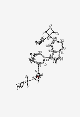 CC(C)(O)C12CC(C1)N(c1cc(-n3ncc4ccc(C5(C#N)CCC5)cc43)cnn1)C2